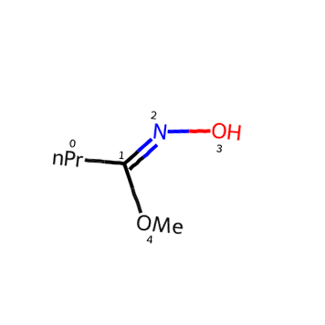 CCC/C(=N/O)OC